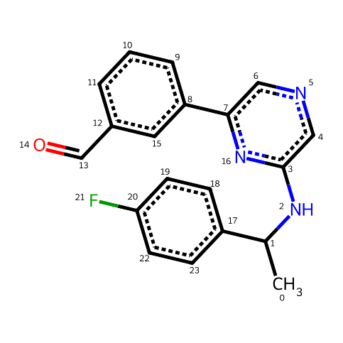 CC(Nc1cncc(-c2cccc(C=O)c2)n1)c1ccc(F)cc1